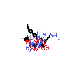 CCCCc1ccc(-c2ccc(C(=O)NCCC(=O)N[C@@H](CCCCN)C(=O)N[C@H](C(=O)N[C@@H](N)C(=O)N[C@@H](CC(N)=O)C(=O)N[C@@H](CC)B3OC4C[C@@H]5C[C@@H](C5(C)C)[C@]4(C)O3)[C@@H](C)O)cc2)cc1